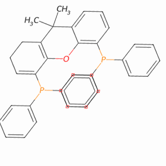 CC1(C)C2=C(Oc3c(P(c4ccccc4)c4ccccc4)cccc31)C(P(c1ccccc1)c1ccccc1)=CCC2